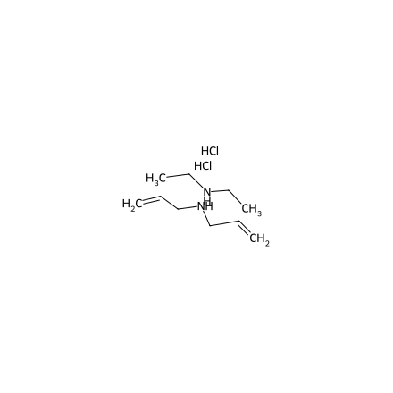 C=CCNCC=C.CCNCC.Cl.Cl